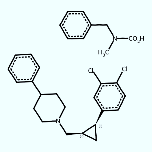 CN(Cc1ccccc1)C(=O)O.Clc1ccc([C@H]2C[C@H]2CN2CCC(c3ccccc3)CC2)cc1Cl